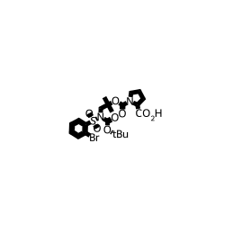 CC(C)(C)OC(=O)N(CC(C)(C)OC(=O)N1CCCC1C(=O)O)S(=O)(=O)c1ccccc1Br